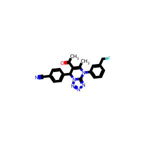 CC(=O)C1=C(C)N(c2cccc(CF)c2)c2nnnn2C1c1ccc(C#N)cc1